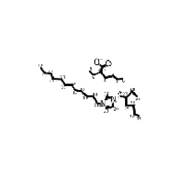 CCCCC(CC)C(=O)[O-].CCCCCCCCCCCCn1cc[n+](CC(CC)CCCC)c1